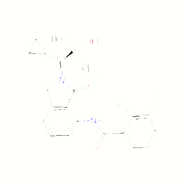 CC(C)(O)[C@H](C1CC1)N1Cc2cccc(NC(=O)c3cccc(F)c3C(F)(F)F)c2C1=O